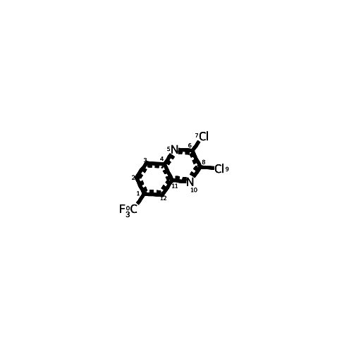 FC(F)(F)c1ccc2nc(Cl)c(Cl)nc2c1